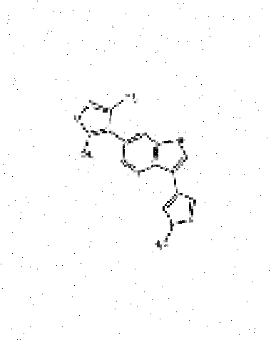 Cc1noc(C)c1-c1cnc2c(-c3cnn(C)c3)c[nH]c2c1